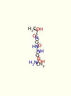 C=C/C(O)=C\C=C\C(=O)N1CCc2cc(C(=O)NCCC3Cc4ccc(OCC(O)C(C)N)cc4CN3)ccc2C1